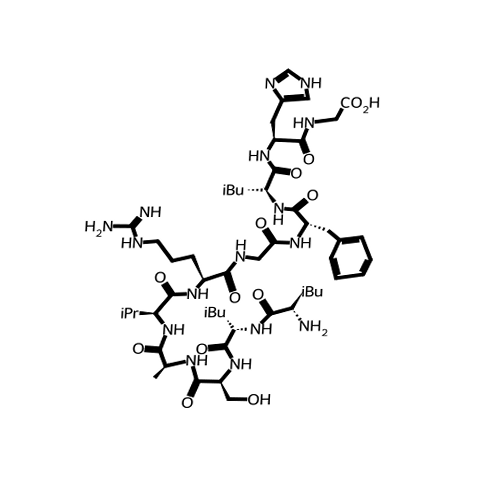 CC[C@H](C)[C@H](N)C(=O)N[C@H](C(=O)N[C@@H](CO)C(=O)N[C@@H](C)C(=O)N[C@H](C(=O)N[C@@H](CCCNC(=N)N)C(=O)NCC(=O)N[C@@H](Cc1ccccc1)C(=O)N[C@H](C(=O)N[C@@H](Cc1c[nH]cn1)C(=O)NCC(=O)O)[C@@H](C)CC)C(C)C)[C@@H](C)CC